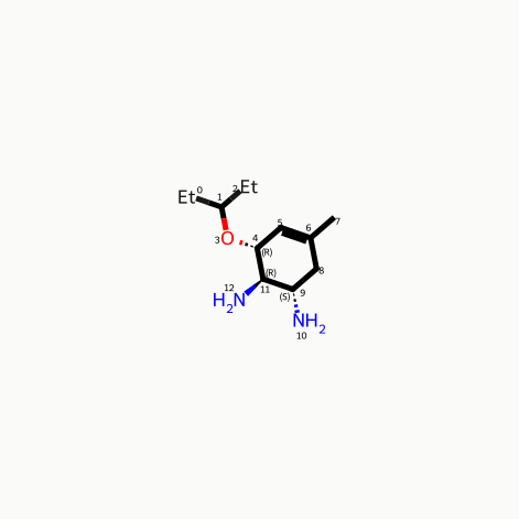 CCC(CC)O[C@@H]1C=C(C)C[C@H](N)[C@H]1N